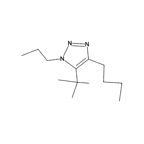 CCCCc1nnn(CCC)c1C(C)(C)C